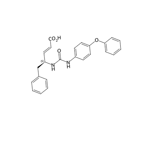 O=C(O)C=C[C@H](Cc1ccccc1)NC(=O)Nc1ccc(Oc2ccccc2)cc1